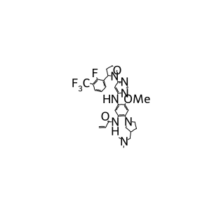 C=CC(=O)Nc1cc(Nc2cc(N3OCCC3c3cccc(C(F)(F)F)c3F)ncn2)c(OC)cc1N1CCC(CN(C)C)C1